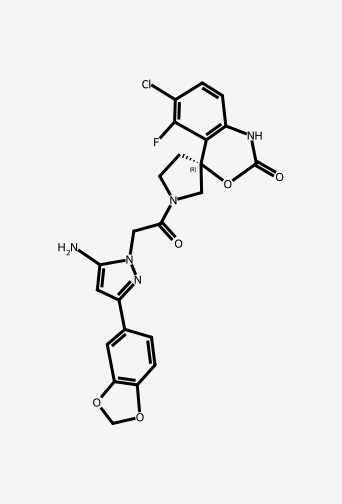 Nc1cc(-c2ccc3c(c2)OCO3)nn1CC(=O)N1CC[C@@]2(C1)OC(=O)Nc1ccc(Cl)c(F)c12